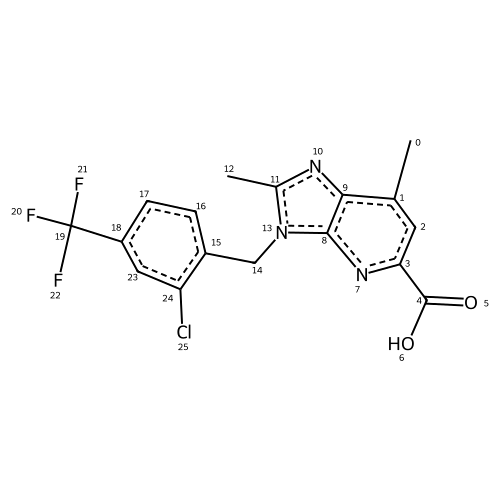 Cc1cc(C(=O)O)nc2c1nc(C)n2Cc1ccc(C(F)(F)F)cc1Cl